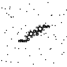 CCCCCCCCCOC(C)c1ccc(OC(=O)c2ccc(OCCC)cc2)cc1